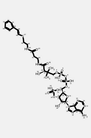 CC(C)(COP(=O)(O)OP(=O)(O)OC[C@H]1O[C@@H](n2cnc3c(N)ncnc32)[C@H](O)[C@@H]1OP(=O)(O)O)[C@@H](O)C(=O)NCCC(=O)NCCSC=Cc1ccccc1